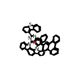 c1ccc(-c2nc(-c3cccc4sc5ccccc5c34)nc(-n3c4ccccc4c4ccc5c6ccccc6n(-c6ccccc6-c6ccc7c8ccccc8c8ccccc8c7c6)c5c43)n2)cc1